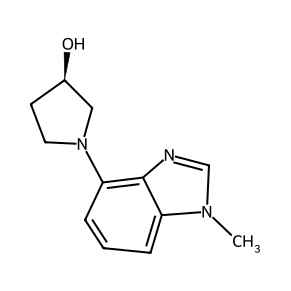 Cn1cnc2c(N3CC[C@@H](O)C3)cccc21